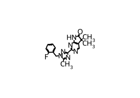 Cc1nc(-c2ncc3c(n2)NC(=O)C3(C)C)nn1Cc1ccccc1F